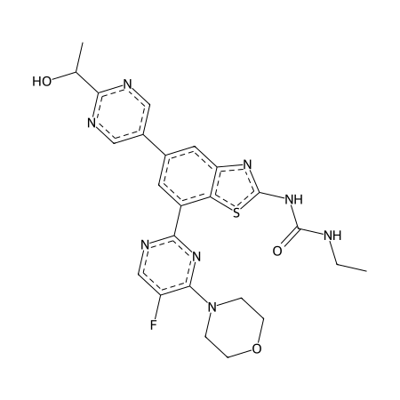 CCNC(=O)Nc1nc2cc(-c3cnc(C(C)O)nc3)cc(-c3ncc(F)c(N4CCOCC4)n3)c2s1